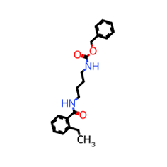 CCc1ccccc1C(=O)NCCCCNC(=O)OCc1ccccc1